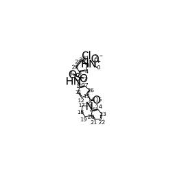 C[NH+]([O-])c1cc(S(=O)(=O)Nc2ccc(C(=O)N3CCCc4ccccc43)cc2)ccc1Cl